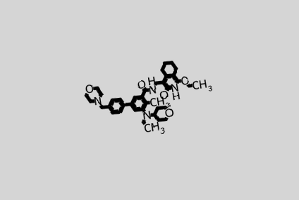 CCOc1[nH]c(=O)c(CNC(=O)c2cc(-c3ccc(CN4CCOCC4)cc3)cc(N(CC)C3CCOCC3)c2C)c2c1CCCC2